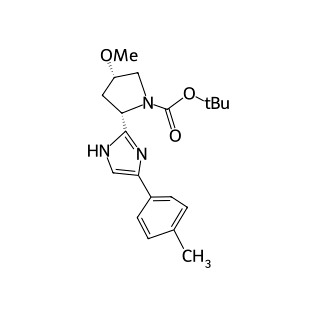 CO[C@H]1C[C@@H](c2nc(-c3ccc(C)cc3)c[nH]2)N(C(=O)OC(C)(C)C)C1